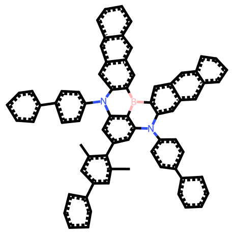 Cc1cc(-c2ccccc2)cc(C)c1-c1cc2c3c(c1)N(c1ccc(-c4ccccc4)cc1)c1cc4cc5ccccc5cc4cc1B3c1cc3cc4ccccc4cc3cc1N2c1ccc(-c2ccccc2)cc1